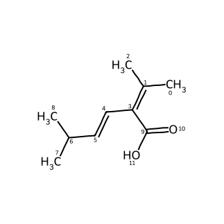 CC(C)=C(C=CC(C)C)C(=O)O